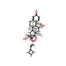 C[C@]12C=CC(=O)C=C1CC[C@H]1[C@@H]3C[C@H]4O[C@@H](/C=C/C5CCC5)O[C@@]4(C(=O)CO)[C@@]3(C)C[C@H](O)[C@@]12F